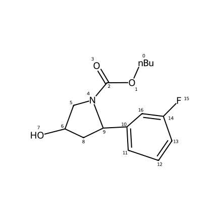 CCCCOC(=O)N1CC(O)CC1c1cccc(F)c1